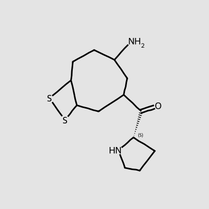 NC1CCC2SSC2CC(C(=O)[C@@H]2CCCN2)C1